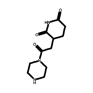 O=C1CCC(CC(=O)N2CCNCC2)C(=O)N1